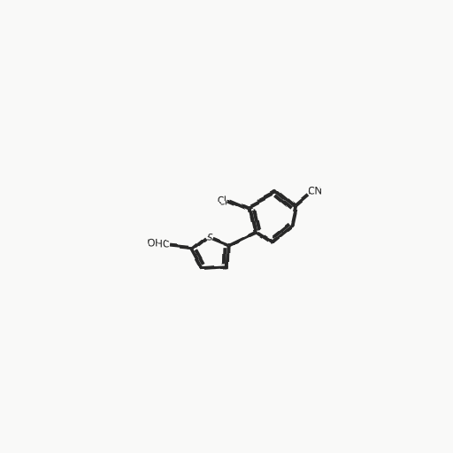 N#Cc1ccc(-c2ccc(C=O)s2)c(Cl)c1